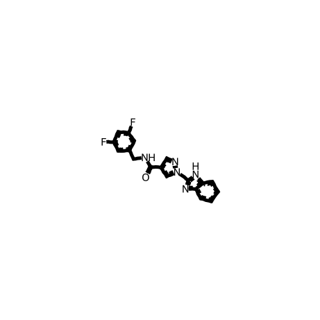 O=C(NCc1cc(F)cc(F)c1)c1cnn(-c2nc3ccccc3[nH]2)c1